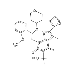 Cc1c(-c2ncco2)sc2c1c(=O)n(C(C)(C)C(=O)O)c(=O)n2CC(OC1CCOCC1)c1ccccc1OC(F)(F)F